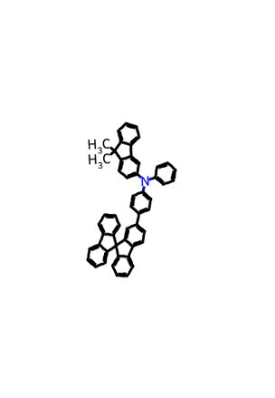 CC1(C)c2ccccc2-c2cc(N(c3ccccc3)c3ccc(-c4ccc5c(c4)C4(c6ccccc6-c6ccccc64)c4ccccc4-5)cc3)ccc21